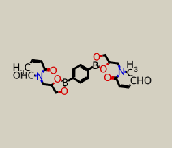 C/C=C\C(=O)N(C=O)CC1COB(c2ccc(B3OCC(CN(C)C(=O)/C=C\C=O)O3)cc2)O1